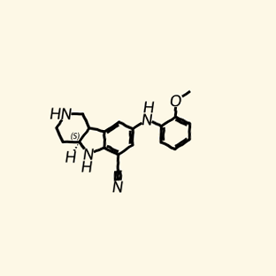 COc1ccccc1Nc1cc(C#N)c2c(c1)C1CNCC[C@@H]1N2